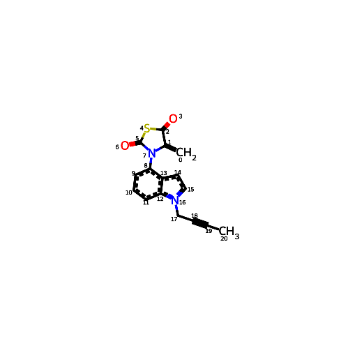 C=C1C(=O)SC(=O)N1c1cccc2c1ccn2CC#CC